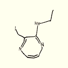 CCNc1nccnc1I